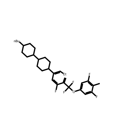 C=C(/C(F)=C\C(=C/CC)C1CCC(C2CCC(CCCC)CC2)CC1)C(F)(F)Oc1cc(F)c(C)c(F)c1